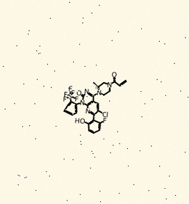 C=CC(=O)N1CCN(c2nc(=O)n(-c3ccccc3S(F)(F)(F)(F)F)c3nc(-c4c(O)cccc4F)c(Cl)cc23)[C@@H](C)C1